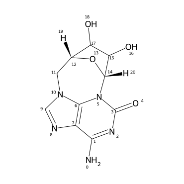 Nc1nc(=O)n2c3c1ncn3C[C@H]1O[C@@H]2C(O)C1O